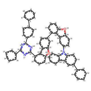 c1ccc(-c2ccc(-c3nc(-c4ccccc4)nc(-c4cccc5oc6cc(-c7cccc8oc9ccc(-n%10c%11ccccc%11c%11cc(-c%12ccccc%12)ccc%11%10)cc9c78)ccc6c45)n3)cc2)cc1